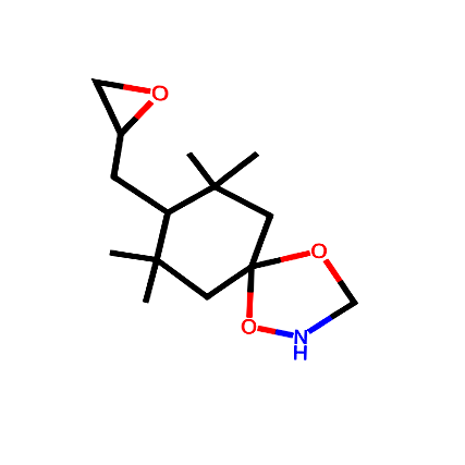 CC1(C)CC2(CC(C)(C)C1CC1CO1)OCNO2